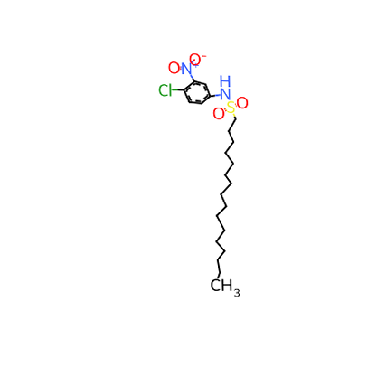 CCCCCCCCCCCCCCCCS(=O)(=O)Nc1ccc(Cl)c([N+](=O)[O-])c1